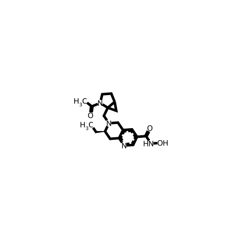 CC[C@@H]1Cc2ncc(C(=O)NO)cc2CN1CC12CC1CCN2C(C)=O